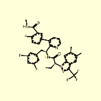 CC[C@@H](C(=O)N[C@@H](Cc1cc(F)cc(F)c1)c1ncccc1-c1ccc(F)c(C(=O)NC)c1)n1nc(C(F)(F)F)c2cc(C)c(C)cc21